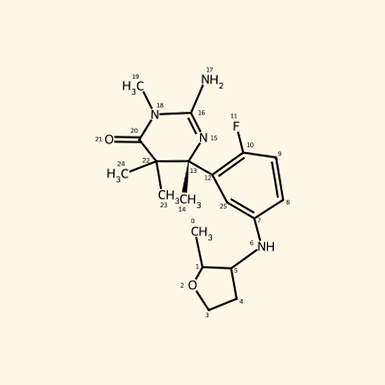 CC1OCCC1Nc1ccc(F)c([C@@]2(C)N=C(N)N(C)C(=O)C2(C)C)c1